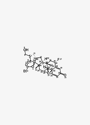 CCC(=O)O[C@@]1(C(=O)SCO)[C@H](C)C[C@H]2[C@@H]3C[C@H](F)C4=CC(=O)C=C[C@]4(C)[C@@]34O[C@H]4C[C@@]21C